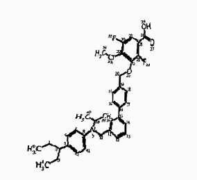 CCC(CC)c1ccc(N(Cc2cccc(-c3ccc(COc4c(F)c(C(=O)O)cc(F)c4OC)cc3)c2)C(C)C)cc1